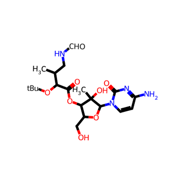 CC(CNC=O)C(OC(C)(C)C)C(=O)OC1C(CO)OC(n2ccc(N)nc2=O)C1(C)O